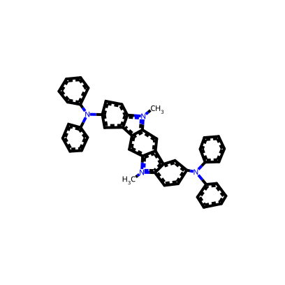 Cn1c2ccc(N(c3ccccc3)c3ccccc3)cc2c2cc3c(cc21)c1cc(N(c2ccccc2)c2ccccc2)ccc1n3C